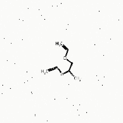 [CH2]C(COC=C)OC=C